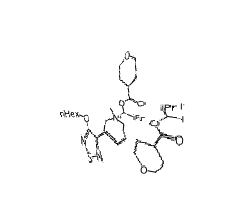 CC(C)C(I)OC(=O)C1CCOCC1.CCCCCCOc1nsnc1C1=CCC[N+](C)(C(OC(=O)C2CCOCC2)C(C)C)C1.[I-]